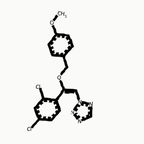 COc1ccc(COC(=Cn2ncnn2)c2ccc(Cl)cc2Cl)cc1